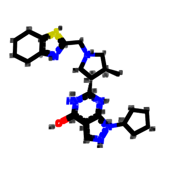 C[C@@H]1CN(Cc2nc3c(s2)CCCC3)C[C@H]1c1nc2c(cnn2C2CCCC2)c(=O)[nH]1